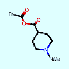 CCC(=O)OC(=O)C1CCN(NC)CC1